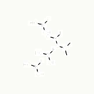 C[O+](C)OB([O-])F.OB(O)F.OB(O)F.OB(O)F